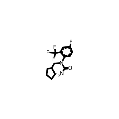 NC(=O)N(CC1CCCC1)c1ccc(F)cc1C(F)(F)F